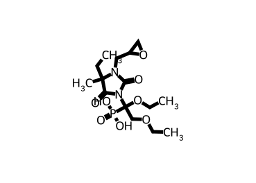 CCOCC(OCC)(N1C(=O)N(CC2CO2)C(C)(CC)C1=O)P(=O)(O)O